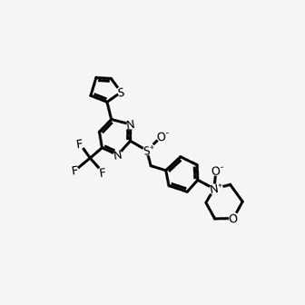 [O-][S+](Cc1ccc([N+]2([O-])CCOCC2)cc1)c1nc(-c2cccs2)cc(C(F)(F)F)n1